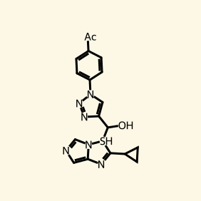 CC(=O)c1ccc(-n2cc(C(O)[SH]3C(C4CC4)=Nc4cncn43)nn2)cc1